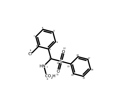 O=C(O)NC(c1ccccc1Cl)S(=O)(=O)c1ccccc1